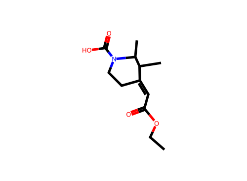 CCOC(=O)C=C1CCN(C(=O)O)C(C)C1C